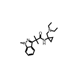 CCN(CC)CC1(NC(=O)C(C)(C)c2nn(C)c3ccccc23)CC1